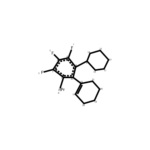 CCCc1c(F)c(F)c(F)c(C2CCCCC2)c1C1=CCCCC1